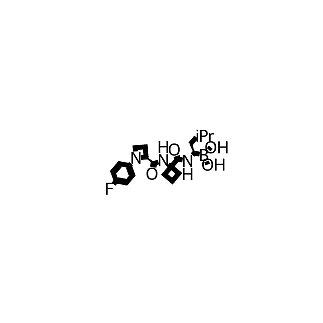 CC(C)C[C@H](NC(=O)C1(NC(=O)[C@@H]2CCN2c2ccc(F)cc2)CCC1)B(O)O